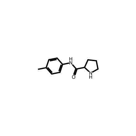 Cc1ccc(NC(=O)C2CCCN2)cc1